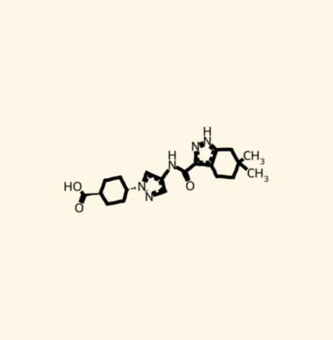 CC1(C)CCc2c(C(=O)Nc3cnn([C@H]4CC[C@H](C(=O)O)CC4)c3)n[nH]c2C1